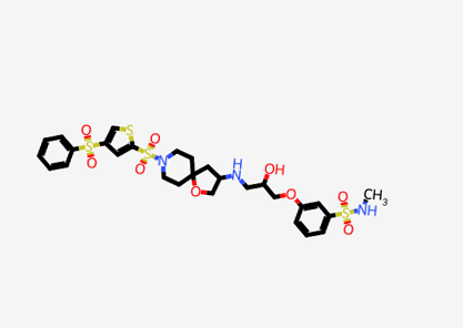 CNS(=O)(=O)c1cccc(OCC(O)CNC2COC3(CCN(S(=O)(=O)c4cc(S(=O)(=O)c5ccccc5)cs4)CC3)C2)c1